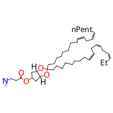 CC/C=C\C/C=C\C/C=C\CCCCCCCCC1(CCCCCCCC/C=C\C/C=C\CCCCC)O[C@H]2C[C@H](OC(=O)CCN(C)C)C[C@H]2O1